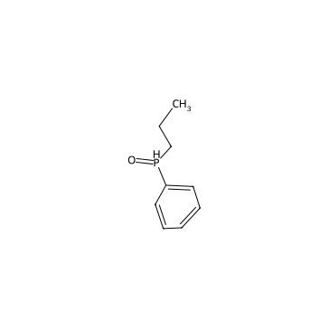 CCC[PH](=O)c1ccccc1